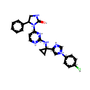 O=C1NCC(c2ccccc2)N1c1ccnc(NC2(c3cn(-c4ccc(Cl)cc4)cn3)CC2)n1